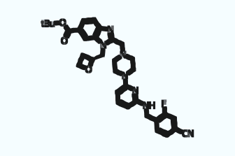 CC(C)(C)OC(=O)c1ccc2nc(CN3CCN(c4cccc(NCc5ccc(C#N)cc5F)n4)CC3)n(C[C@@H]3CCO3)c2c1